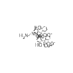 NCCN.O=C([O-])C(c1ccccc1O)c1ccccc1O.O=C([O-])C(c1ccccc1O)c1ccccc1O.[Cu+2]